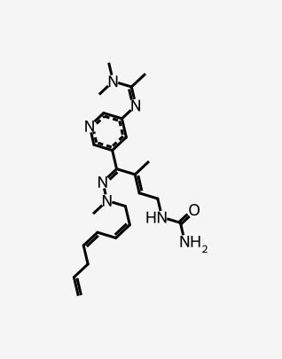 C=CC/C=C\C=C/CN(C)/N=C(\C(C)=C\CNC(N)=O)c1cncc(/N=C(/C)N(C)C)c1